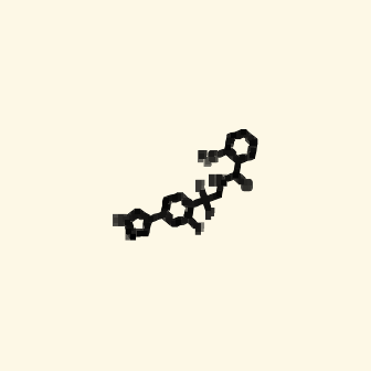 O=C(NCC(F)(F)c1ccc(-c2cn[nH]c2)cc1F)c1ccccc1C(F)(F)F